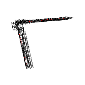 O=P(O)(O)O.O=P(O)(O)O.O=P(O)(O)O.O=P(O)(O)O.O=P(O)(O)O.[Ca+2].[Ca+2].[Ca+2].[Ca+2].[Ca+2].[Ca+2].[Ca+2].[Ca+2].[Ca+2].[Ca+2].[Ca+2].[Ca+2].[Ca+2].[Ca+2].[Ca+2].[Ca+2].[Ca+2].[Ca+2].[Ca+2].[Ca+2].[Ca+2].[Ca+2].[Ca+2].[Ca+2].[Ca+2].[Ca+2].[Ca+2].[Ca+2].[Ca+2].[Ca+2].[Ca+2].[Ca+2].[Ca+2].[Ca+2].[Ca+2].[Ca+2].[Ca+2].[Ca+2].[Ca+2].[Ca+2].[Ca+2].[Ca+2].[Ca+2].[Ca+2].[Ca+2].[Ca+2].[Ca+2].[Ca+2].[Ca+2].[Ca+2].[Ca+2].[Ca+2].[Ca+2].[Ca+2].[Ca+2].[Ca+2].[Ca+2].[Ca+2].[Ca+2].[Ca+2].[Ca+2].[Ca+2].[Ca+2].[Ca+2].[Ca+2].[Ca+2].[Ca+2].[Ca+2].[Ca+2].[Ca+2].[Ca+2].[Ca+2].[Ca+2].[Ca+2].[Ca+2].[Ca+2].[Ca+2].[Ca+2]